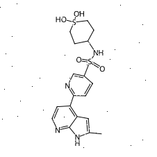 Cc1cc2c(-c3ccc(S(=O)(=O)NC4CCS(O)(O)CC4)cn3)ccnc2[nH]1